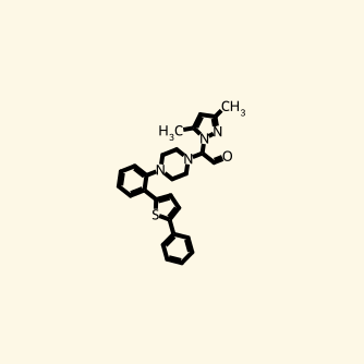 Cc1cc(C)n(C(C=O)N2CCN(c3ccccc3-c3ccc(-c4ccccc4)s3)CC2)n1